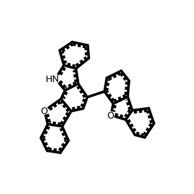 c1ccc2c(c1)[nH]c1c3oc4ccccc4c3cc(-c3cccc4c3oc3ccccc34)c21